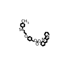 Cc1ccc([Se]CC=COc2ccc(COC(=O)Oc3cccc4cc5cn6ccccc6c5nc34)cc2)cc1